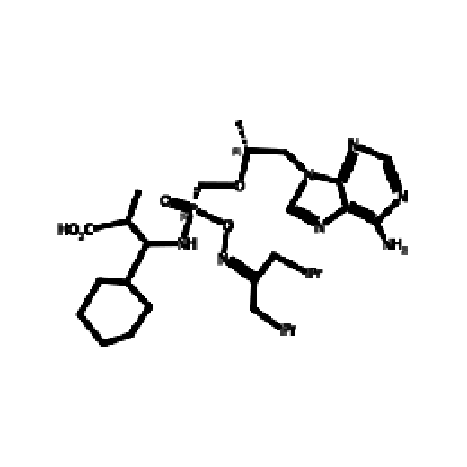 CC(C)CC(CC(C)C)=NO[P@@](=O)(CO[C@H](C)Cn1cnc2c(N)ncnc21)NC(C1CCCCC1)C(C)C(=O)O